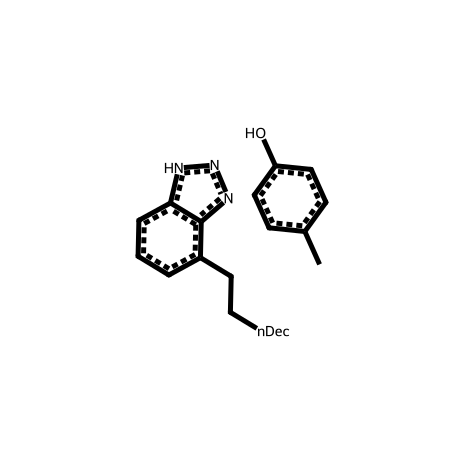 CCCCCCCCCCCCc1cccc2[nH]nnc12.Cc1ccc(O)cc1